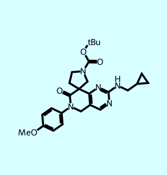 COc1ccc(N2Cc3cnc(NCC4CC4)nc3C3(CCN(C(=O)OC(C)(C)C)C3)C2=O)cc1